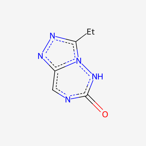 CCc1nnc2cnc(=O)[nH]n12